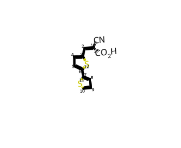 N#CC(=Cc1ccc(-c2cccs2)s1)C(=O)O